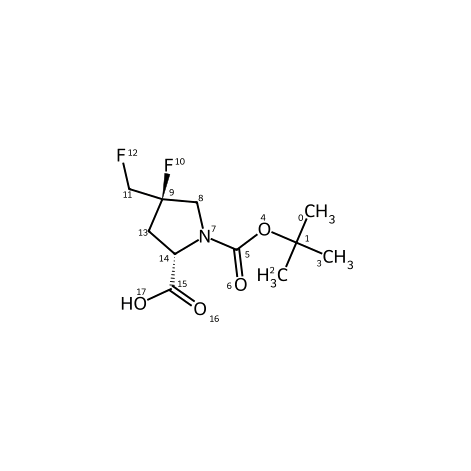 CC(C)(C)OC(=O)N1C[C@@](F)(CF)C[C@H]1C(=O)O